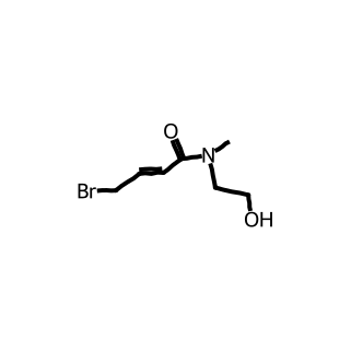 CN(CCO)C(=O)/C=C/CBr